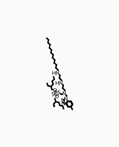 CCCCCCCCCCCCCCNCCCNCCCN(CSP(=S)(OCC(CC)CCCC)OCC(CC)CCCC)Cn1nnc2cc(C)ccc21